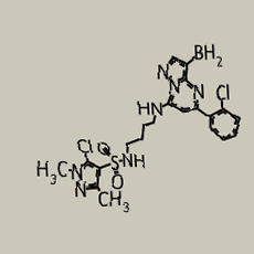 Bc1cnn2c(NCCCCNS(=O)(=O)c3c(C)nn(C)c3Cl)cc(-c3ccccc3Cl)nc12